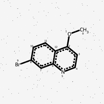 COc1ccnc2cc(Br)ccc12